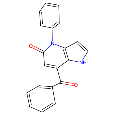 O=C(c1ccccc1)c1cc(=O)n(-c2ccccc2)c2cc[nH]c12